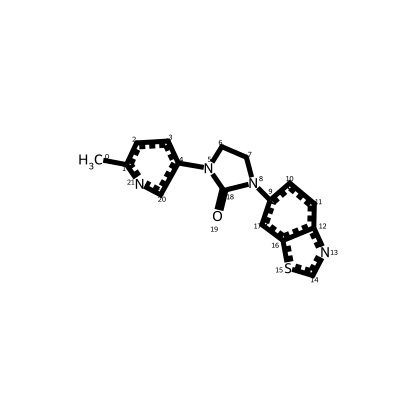 Cc1ccc(N2CCN(c3ccc4ncsc4c3)C2=O)cn1